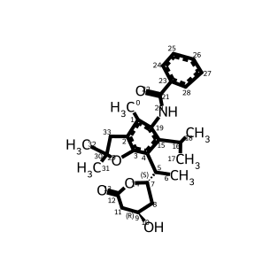 Cc1c2c(c(C(C)[C@@H]3C[C@@H](O)CC(=O)O3)c(C(C)C)c1NC(=O)c1ccccc1)OC(C)(C)C2